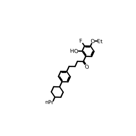 CCCC1CCC(c2ccc(CCCC(=O)c3ccc(OCC)c(F)c3O)cc2)CC1